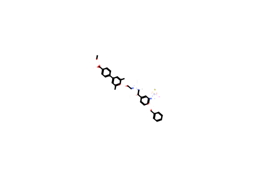 CCOC(=O)c1ccc(-c2cc(C)c(OCCN[C@@H](C)[C@H](O)c3ccc(OCc4ccccc4)c(NS(C)(=O)=O)c3)c(C)c2)cc1